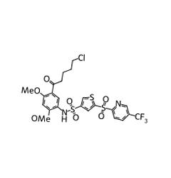 COc1cc(OC)c(C(=O)CCCCCl)cc1NS(=O)(=O)c1csc(S(=O)(=O)c2ccc(C(F)(F)F)cn2)c1